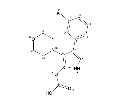 O=C(O)Oc1[nH]cc(-c2cccc(Br)c2)c1N1CCOCC1